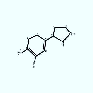 FC1=C(Cl)CCC(C2CCON2)=C1